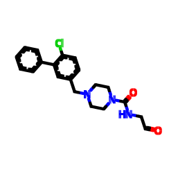 O=CCNC(=O)N1CCN(Cc2ccc(Cl)c(-c3ccccc3)c2)CC1